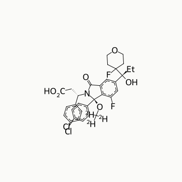 [2H]C([2H])([2H])O[C@]1(c2ccc(Cl)cc2)c2c(F)cc([C@](O)(CC)C3(F)CCOCC3)cc2C(=O)N1[C@@H](CC(=O)O)c1ccc(Cl)cc1